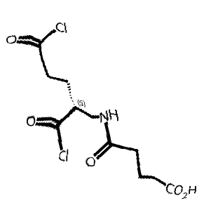 O=C(O)CCC(=O)N[C@@H](CCC(=O)Cl)C(=O)Cl